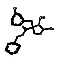 CC(C)(C)C1OCC(Cc2cccc(C#N)c2)(C(=O)OCc2ccccc2)N1C=O